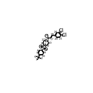 CC(C)(C)c1ccc(S(=O)(=O)N2CCN(C(=O)C=Cc3ccc(Cl)c(Cl)c3)CC2)cc1